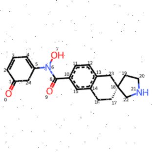 O=C1C=CC=C(N(O)C(=O)c2ccc3c(c2)CC[C@@]2(CCNC2)C3)C1